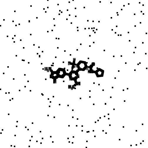 CNc1nc(-c2ccc3c(N)n[nH]c3c2)cc(N2C[C@@H](C(=O)NC3CCCC3)CC[C@H]2C(F)(F)F)n1